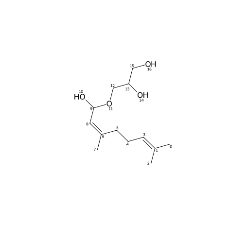 CC(C)=CCC/C(C)=C\C(O)OCC(O)CO